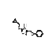 c1ccc(OCc2nnc(SCC3CC3)[nH]2)cc1